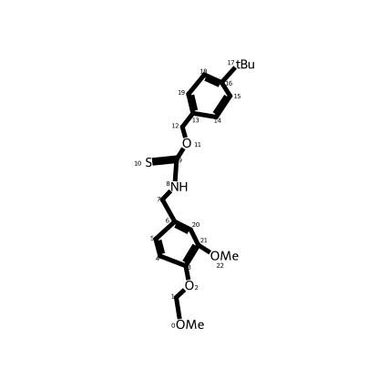 COCOc1ccc(CNC(=S)OCc2ccc(C(C)(C)C)cc2)cc1OC